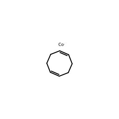 C1=C\CC/C=C\CC/1.[Co]